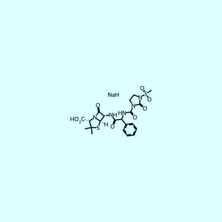 CC1(C)S[C@@H]2[C@H](NC(=O)C(NC(=O)N3CCN(S(C)(=O)=O)C3=O)c3ccccc3)C(=O)N2[C@H]1C(=O)O.[NaH]